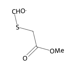 COC(=O)CS[C]=O